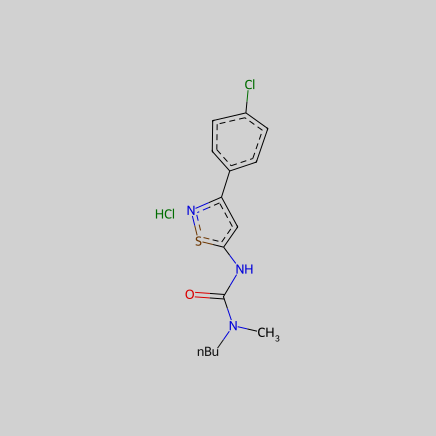 CCCCN(C)C(=O)Nc1cc(-c2ccc(Cl)cc2)ns1.Cl